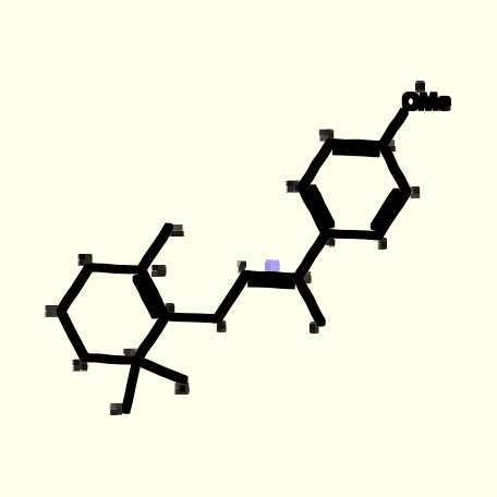 COc1ccc(/C(C)=C/CC2=C(C)CCCC2(C)C)cc1